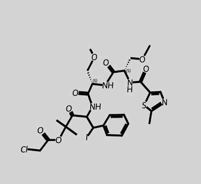 COC[C@H](NC(=O)c1cnc(C)s1)C(=O)N[C@@H](COC)C(=O)NC(C(=O)C(C)(C)OC(=O)CCl)C(I)c1ccccc1